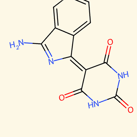 NC1=NC(=C2C(=O)NC(=O)NC2=O)c2ccccc21